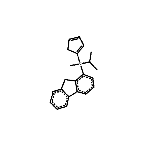 CC(C)[Si](C)(C1=CC=CC1)c1cccc2c1Cc1ccccc1-2